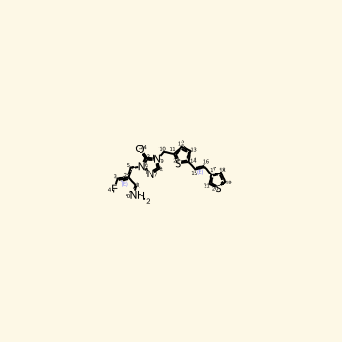 NC/C(=C\F)Cn1ncn(Cc2ccc(/C=C/c3ccsc3)s2)c1=O